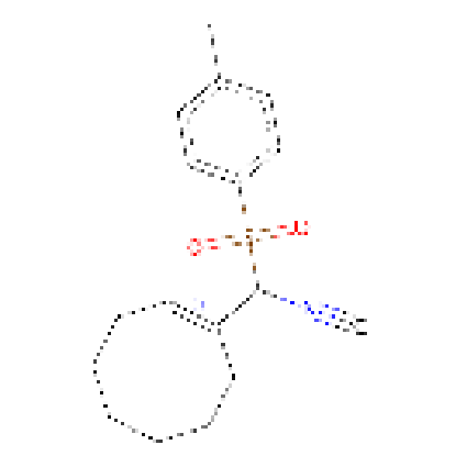 [C-]#[N+]C(/C1=C/CCCCCC1)S(=O)(=O)c1ccc(C)cc1